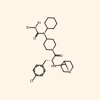 CCN(CC)C(=O)N(C1CCCCC1)C1CCN(C(=O)[C@@H](Cc2ccc(Cl)cc2)NC2CN3CCC2CC3)CC1